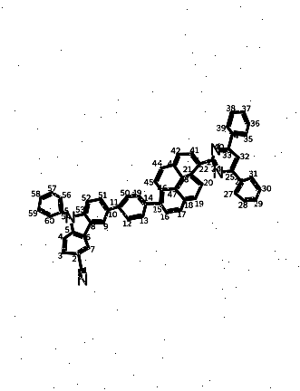 N#Cc1ccc2c(c1)c1cc(-c3ccc(-c4ccc5ccc6c(-c7nc(-c8ccccc8)cc(-c8ccccc8)n7)ccc7ccc4c5c76)cc3)ccc1n2-c1ccccc1